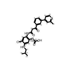 Cc1cc(-c2cccc(C(=O)CC(=O)Nc3cc(Cl)c(NCC(C)C)cc3NC(=O)O)c2)ccn1